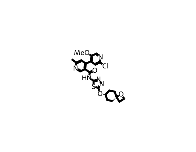 COc1cnc(Cl)cc1-c1cc(C)ncc1C(=O)Nc1nnc(O[C@H]2CC[C@]3(CCO3)CC2)s1